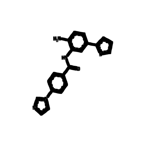 Nc1ccc(-c2cccs2)cc1NC(=O)c1ccc(-n2ccnc2)cc1